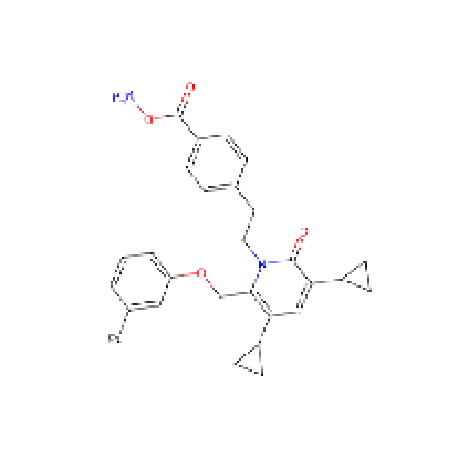 CCc1cccc(OCc2c(C3CC3)cc(C3CC3)c(=O)n2CCc2ccc(C(=O)ON)cc2)c1